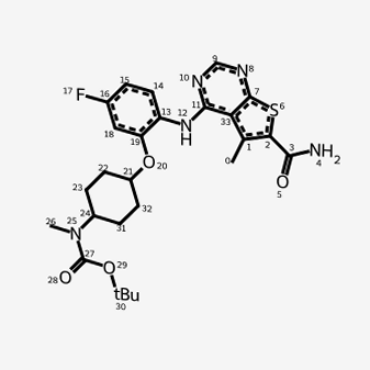 Cc1c(C(N)=O)sc2ncnc(Nc3ccc(F)cc3OC3CCC(N(C)C(=O)OC(C)(C)C)CC3)c12